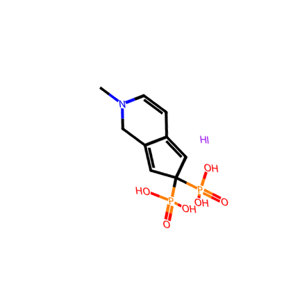 CN1C=CC2=CC(P(=O)(O)O)(P(=O)(O)O)C=C2C1.I